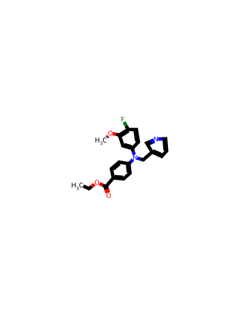 CCOC(=O)c1ccc(N(Cc2cccnc2)c2ccc(F)c(OC)c2)cc1